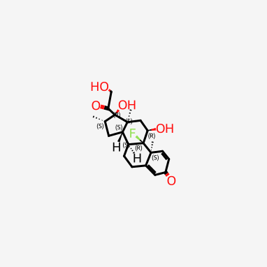 C[C@H]1C[C@H]2[C@@H]3CCC4=CC(=O)C=C[C@]4(C)[C@@]3(F)[C@H](O)C[C@]2(C)[C@@]1(O)C(=O)CO